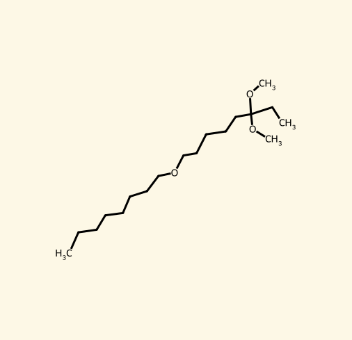 CCCCCCCCOCCCCCC(CC)(OC)OC